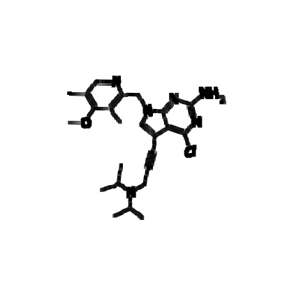 COc1c(C)cnc(Cn2cc(C#CCN(C(C)C)C(C)C)c3c(Cl)nc(N)nc32)c1C